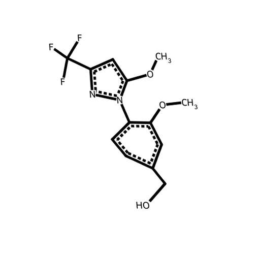 COc1cc(CO)ccc1-n1nc(C(F)(F)F)cc1OC